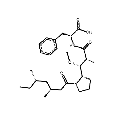 CC[C@H](C)C[C@H](C)CC(=O)N1CCC[C@H]1[C@H](OC)[C@@H](C)C(=O)N[C@@H](Cc1ccccc1)C(=O)O